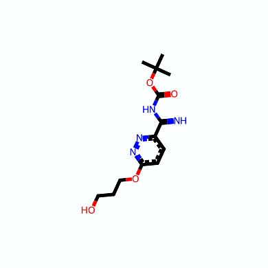 CC(C)(C)OC(=O)NC(=N)c1ccc(OCCCO)nn1